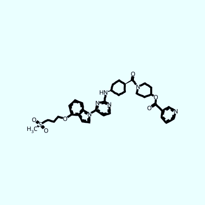 CS(=O)(=O)CCCOc1cccc2c1ccn2-c1ccnc(N[C@H]2CC[C@H](C(=O)N3CCC(OC(=O)c4cccnc4)CC3)CC2)n1